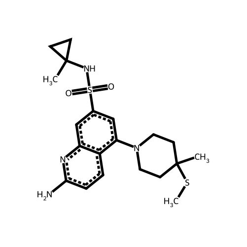 CSC1(C)CCN(c2cc(S(=O)(=O)NC3(C)CC3)cc3nc(N)ccc23)CC1